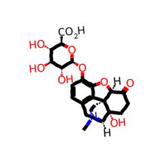 CN1CC[C@]23c4c5ccc(O[C@@H]6O[C@H](C(=O)O)[C@@H](O)[C@H](O)[C@H]6O)c4O[C@H]2C(=O)CC[C@@]3(O)[C@H]1C5